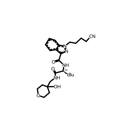 CC(C)(C)[C@H](NC(=O)c1nn(CCCCC#N)c2ccccc12)C(=O)NCC1(O)CCOCC1